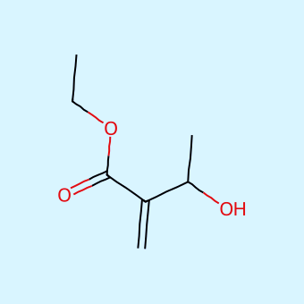 C=C(C(=O)OCC)C(C)O